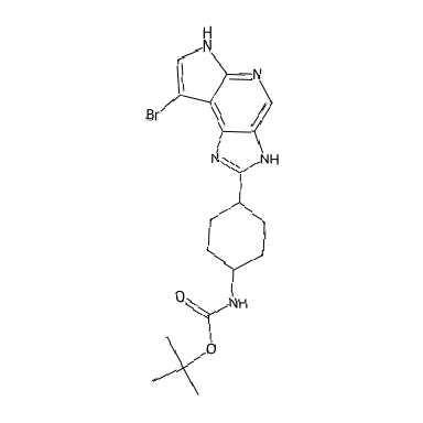 CC(C)(C)OC(=O)NC1CCC(c2nc3c(cnc4[nH]cc(Br)c43)[nH]2)CC1